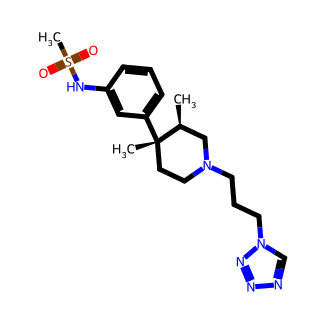 C[C@H]1CN(CCCn2cnnn2)CC[C@]1(C)c1cccc(NS(C)(=O)=O)c1